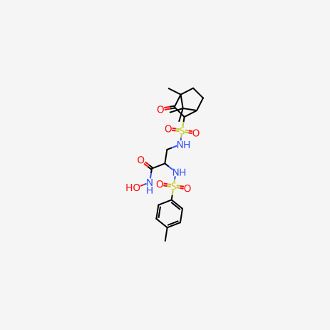 Cc1ccc(S(=O)(=O)NC(CNS(=O)(=O)C2C(=O)C3(C)CCC2C3(C)C)C(=O)NO)cc1